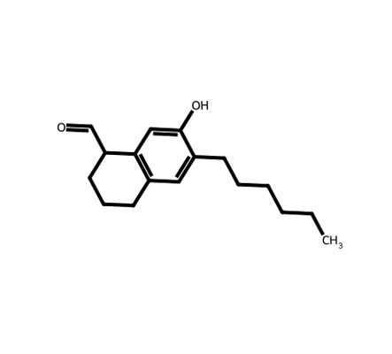 CCCCCCc1cc2c(cc1O)C(C=O)CCC2